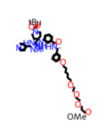 COC(=O)CCOCCOCCOCCCCCCOc1cccc([C@@H](C)NC(=O)c2cccc(NC3(C(=N)NC(=N)c4ccncc4)CCN(C(=O)OC(C)(C)C)CC3)c2)c1